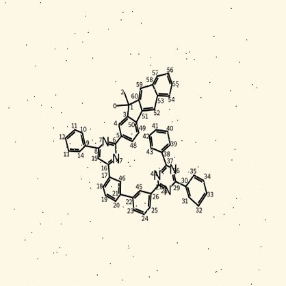 CC1(C)c2cc(-c3nc(-c4ccccc4)cc(-c4cccc(-c5cccc(-c6nc(-c7ccccc7)nc(-c7ccccc7)n6)c5)c4)n3)ccc2-c2cc3ccccc3cc21